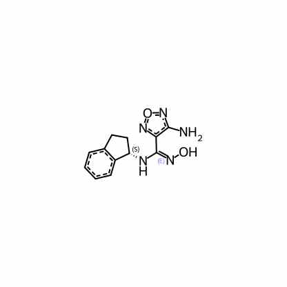 Nc1nonc1/C(=N\O)N[C@H]1CCc2ccccc21